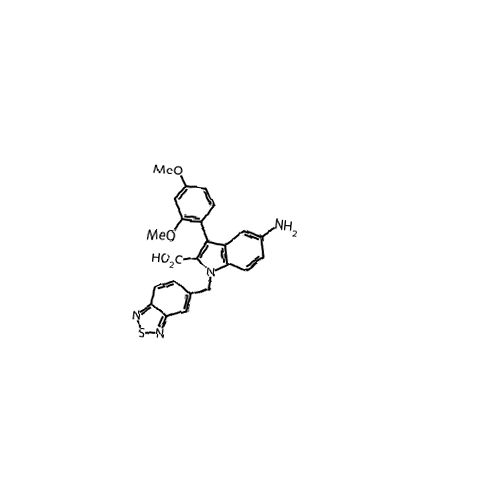 COc1ccc(-c2c(C(=O)O)n(Cc3ccc4nsnc4c3)c3ccc(N)cc23)c(OC)c1